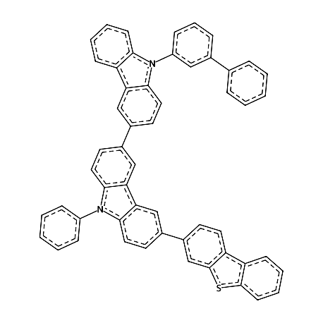 c1ccc(-c2cccc(-n3c4ccccc4c4cc(-c5ccc6c(c5)c5cc(-c7ccc8c(c7)sc7ccccc78)ccc5n6-c5ccccc5)ccc43)c2)cc1